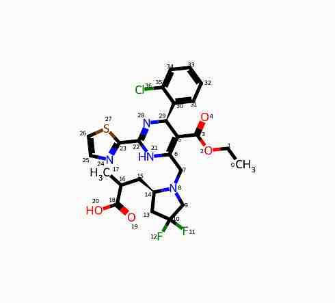 CCOC(=O)C1=C(CN2CC(F)(F)C[C@H]2CC(C)C(=O)O)NC(c2nccs2)=N[C@H]1c1ccccc1Cl